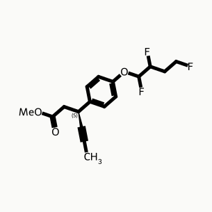 CC#C[C@@H](CC(=O)OC)c1ccc(OC(F)C(F)CCF)cc1